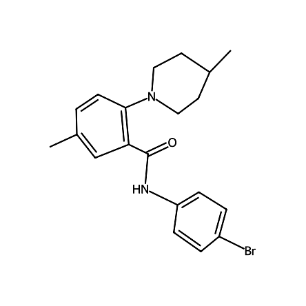 Cc1ccc(N2CCC(C)CC2)c(C(=O)Nc2ccc(Br)cc2)c1